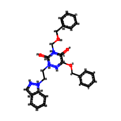 O=c1c(OCc2ccccc2)nn(CCn2ncc3ccccc32)c(=O)n1COCc1ccccc1